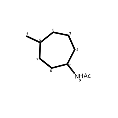 CC(=O)NC1CCCC(C)CC1